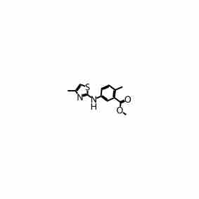 COC(=O)c1cc(Nc2nc(C)cs2)ccc1C